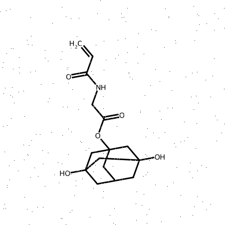 C=CC(=O)NCC(=O)OC12CC3CC(O)(CC(O)(C3)C1)C2